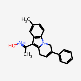 C/C(=N\O)c1c2n(c3ccc(C)cc13)CC(c1ccccc1)=CC2